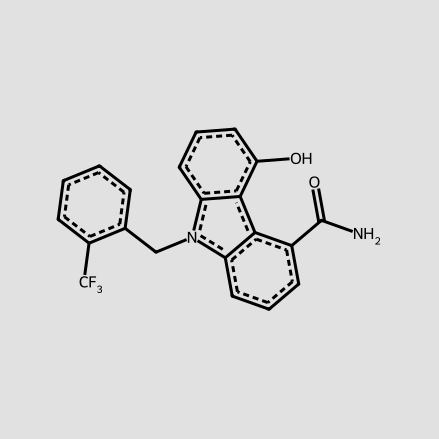 NC(=O)c1cccc2c1c1c(O)cccc1n2Cc1ccccc1C(F)(F)F